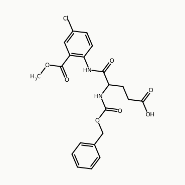 COC(=O)c1cc(Cl)ccc1NC(=O)C(CCC(=O)O)NC(=O)OCc1ccccc1